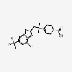 CC(C)(Cc1nc2c(Cl)cc(C(F)(F)F)cn2n1)C1=CCN(C(=O)O)CC1